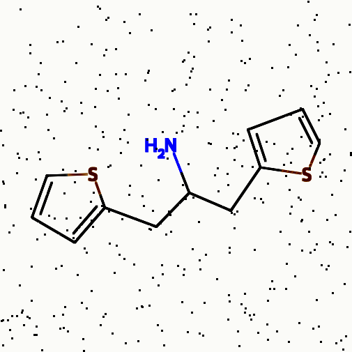 NC(Cc1cccs1)Cc1cccs1